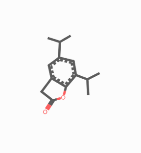 CC(C)c1cc2c(c(C(C)C)c1)OC(=O)C2